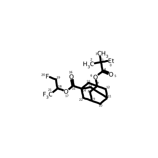 CCC(C)(C)C(=O)OC12CC3CC(C1)CC(C(=O)OC(CF)C(F)(F)F)(C3)C2